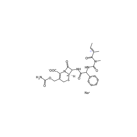 C/C=C(\C)C(=O)N(C)C(=O)NC(C(=O)NC1C(=O)N2C(C(=O)[O-])=C(COC(N)=O)CS[C@H]12)c1ccccc1.[Na+]